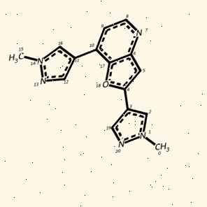 Cn1cc(-c2cc3nccc(-c4cnn(C)c4)c3o2)cn1